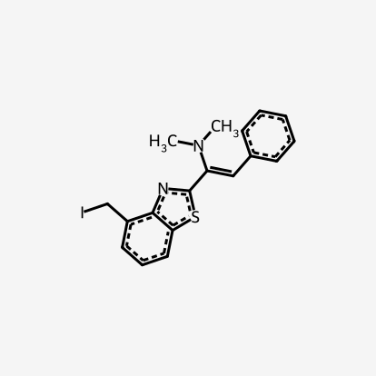 CN(C)C(=Cc1ccccc1)c1nc2c(CI)cccc2s1